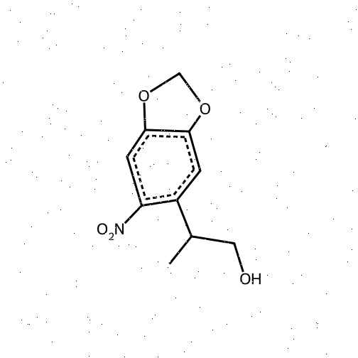 CC(CO)c1cc2c(cc1[N+](=O)[O-])OCO2